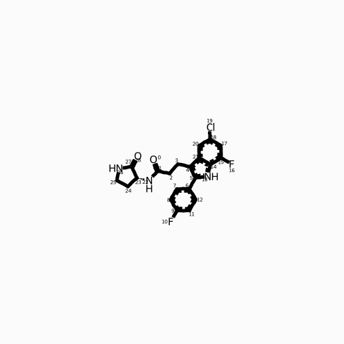 O=C(CCc1c(-c2ccc(F)cc2)[nH]c2c(F)cc(Cl)cc12)N[C@@H]1CCNC1=O